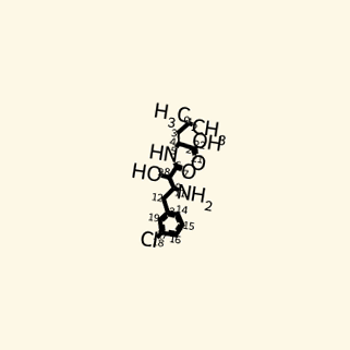 CC(C)C[C@H](NC(=O)C(O)C(N)Cc1cccc(Cl)c1)C(=O)O